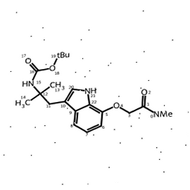 CNC(=O)COc1cccc2c(CC(C)(C)NC(=O)OC(C)(C)C)c[nH]c12